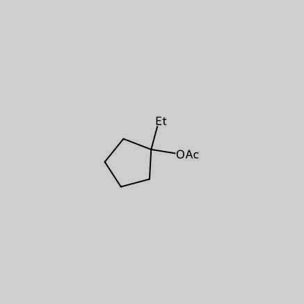 CCC1(OC(C)=O)CCCC1